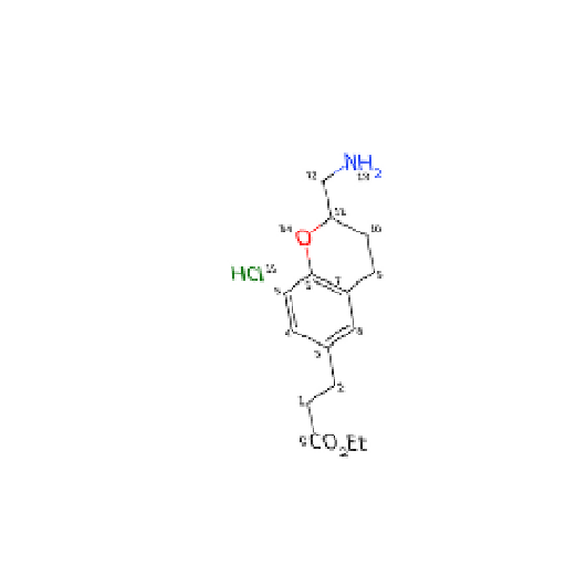 CCOC(=O)CCc1ccc2c(c1)CCC(CN)O2.Cl